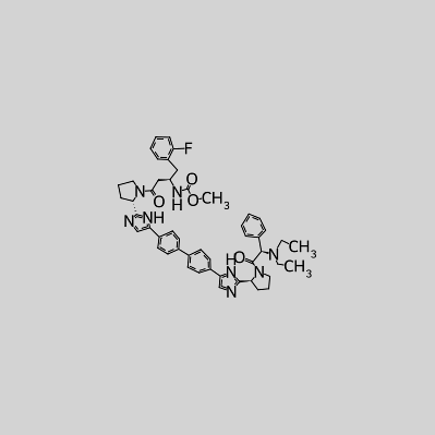 CCN(CC)[C@@H](C(=O)N1CCC[C@H]1c1ncc(-c2ccc(-c3ccc(-c4cnc([C@@H]5CCCN5C(=O)C[C@@H](Cc5ccccc5F)NC(=O)OC)[nH]4)cc3)cc2)[nH]1)c1ccccc1